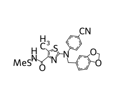 CSNC(=O)c1nc(N(Cc2ccc3c(c2)OCO3)c2ccc(C#N)cc2)sc1C